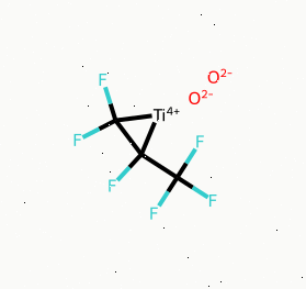 FC(F)(F)[C]1(F)[Ti+4][C]1(F)F.[O-2].[O-2]